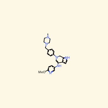 COc1ccc(NC2=CN(c3ccc(CN4CCN(C)CC4)cc3)Cc3[nH]ccc32)cn1